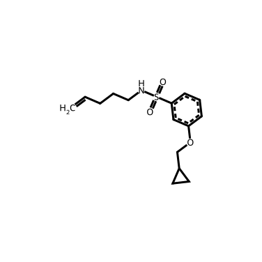 C=CCCCNS(=O)(=O)c1cccc(OCC2CC2)c1